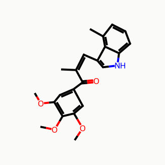 COc1cc(C(=O)C(C)=Cc2c[nH]c3cccc(C)c23)cc(OC)c1OC